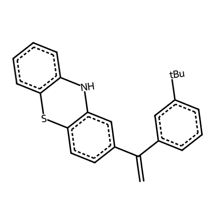 C=C(c1cccc(C(C)(C)C)c1)c1ccc2c(c1)Nc1ccccc1S2